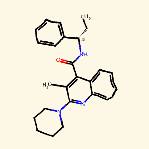 CC[C@H](NC(=O)c1c(C)c(N2CCCCC2)nc2ccccc12)c1ccccc1